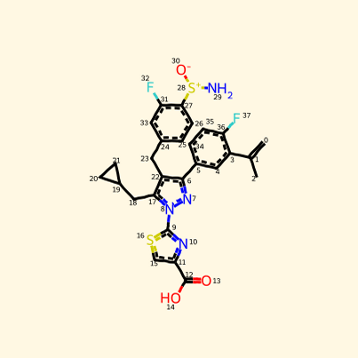 C=C(C)c1cc(-c2nn(-c3nc(C(=O)O)cs3)c(CC3CC3)c2Cc2ccc([S+](N)[O-])c(F)c2)ccc1F